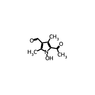 CC(=O)c1c(C)c(C=O)c(C)n1O